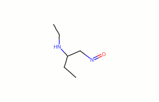 CCNC(CC)CN=O